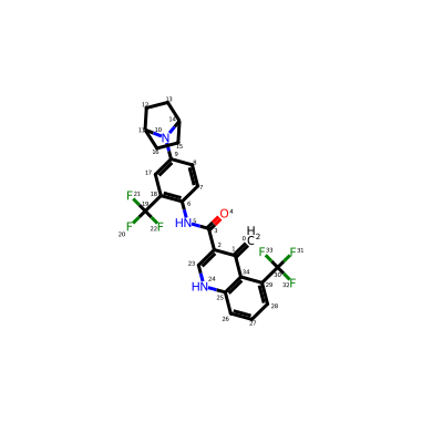 C=C1C(C(=O)Nc2ccc(N3C4CCC3CC4)cc2C(F)(F)F)=CNc2cccc(C(F)(F)F)c21